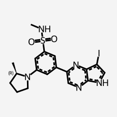 CNS(=O)(=O)c1cc(-c2cnc3[nH]cc(I)c3n2)cc(N2CCC[C@H]2C)c1